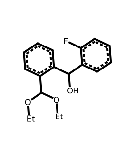 CCOC(OCC)c1ccccc1C(O)c1ccccc1F